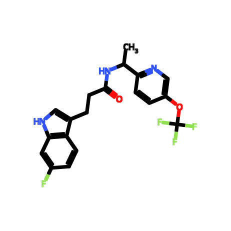 CC(NC(=O)CCc1c[nH]c2cc(F)ccc12)c1ccc(OC(F)(F)F)cn1